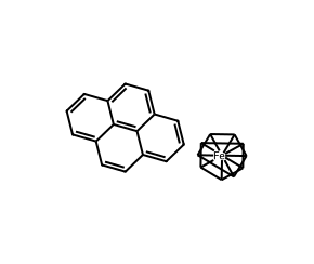 [CH]12[CH]3[CH]4[CH]5[CH]1[Fe]23451678[CH]2[CH]1[CH]6[CH]7[CH]28.c1cc2ccc3cccc4ccc(c1)c2c34